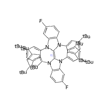 CC(C)(C)c1cc(N2/C(=C3/N(c4cc(C(C)(C)C)cc(C(C)(C)C)c4)c4ccc(F)cc4N3c3cc(C(C)(C)C)cc(C(C)(C)C)c3)N(c3cc(C(C)(C)C)cc(C(C)(C)C)c3)c3cc(F)ccc32)cc(C(C)(C)C)c1